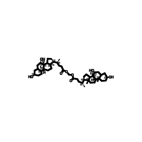 C[C@H](CCC(=O)OCOC(=O)CC[C@@H](C)[C@H]1CCC2[C@@H]3[C@@H](O)CC4C[C@H](O)CC[C@]4(C)[C@H]3CC[C@@]21C)[C@H]1CCC2[C@@H]3[C@@H](O)CC4C[C@H](O)CC[C@]4(C)[C@H]3CC[C@@]21C